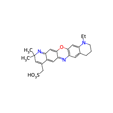 CCN1CCCc2cc3c(cc21)Oc1cc2c(cc1=N3)C(CS(=O)(=O)O)=CC(C)(C)N=2